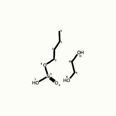 CCCCO[Si](=O)O.OCCO